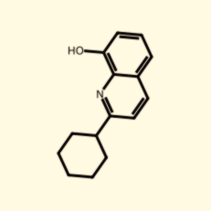 Oc1cccc2ccc(C3CCCCC3)nc12